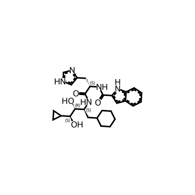 O=C(N[C@@H](Cc1c[nH]cn1)C(=O)N[C@@H](CC1CCCCC1)[C@@H](O)[C@@H](O)C1CC1)c1cc2ccccc2[nH]1